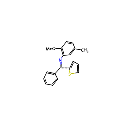 COc1ccc(C)cc1N=C(c1ccccc1)c1cccs1